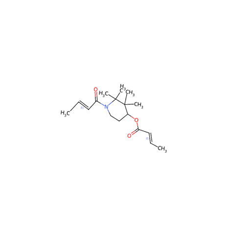 C/C=C/C(=O)OC1CCN(C(=O)/C=C/C)C(C)(C)C1(C)C